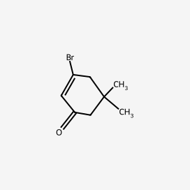 CC1(C)CC(=O)C=C(Br)C1